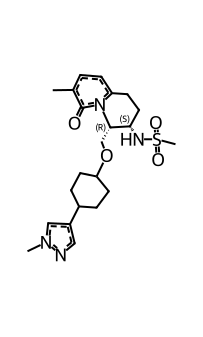 Cc1ccc2n(c1=O)[C@@H](COC1CCC(c3cnn(C)c3)CC1)[C@@H](NS(C)(=O)=O)CC2